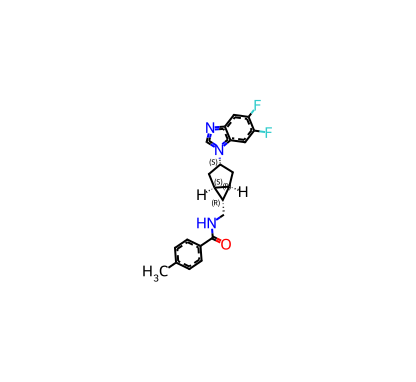 Cc1ccc(C(=O)NC[C@@H]2[C@H]3C[C@H](n4cnc5cc(F)c(F)cc54)C[C@@H]23)cc1